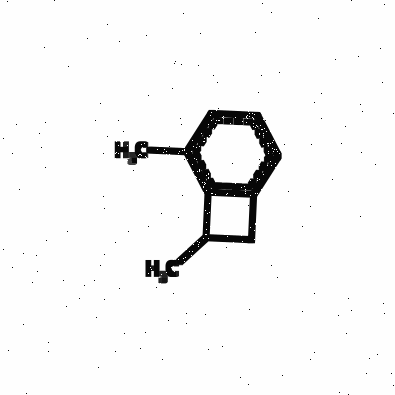 Cc1cccc2c1C(C)C2